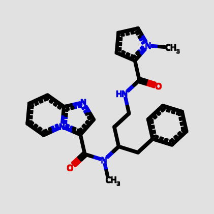 CN(C(=O)c1cnc2ccccn12)C(CCNC(=O)c1cccn1C)Cc1ccccc1